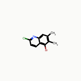 Cc1cc2nc(Cl)ccc2c(Br)c1C